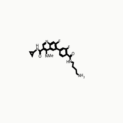 CNc1c(C(=O)NC2CC2)cnc2cc(F)c(-c3ccc(C(=O)NCCCCN)c(F)c3)cc12